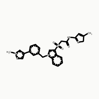 CC1=CC(NC(=O)CS(=O)(=O)c2cn(Cc3cccc(-c4cnn(C)c4)c3)c3ccccc23)=NC1